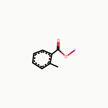 Cc1ccccc1C(=O)OI